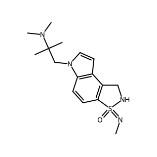 CN=S1(=O)NCc2c1ccc1c2ccn1CC(C)(C)N(C)C